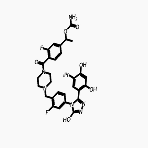 CC(C)c1cc(-c2nnc(O)n2-c2ccc(CN3CCN(C(=O)c4ccc(C(C)OC(N)=O)cc4F)CC3)c(F)c2)c(O)cc1O